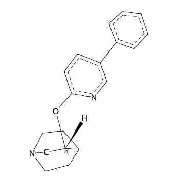 c1ccc(-c2ccc(O[C@H]3CN4CCC3CC4)nc2)cc1